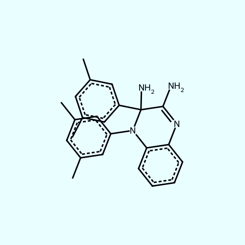 Cc1cc(C)cc(N2c3ccccc3N=C(N)C2(N)c2cc(C)cc(C)c2)c1